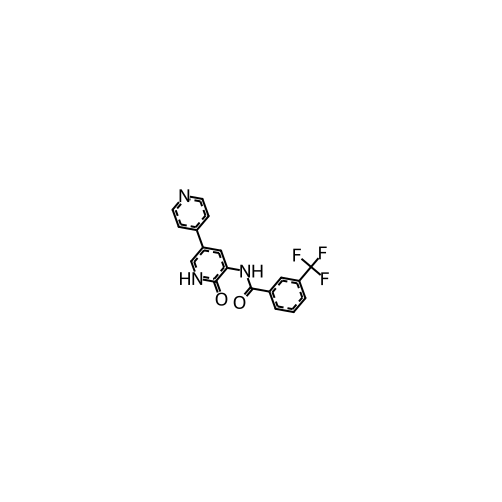 O=C(Nc1cc(-c2ccncc2)c[nH]c1=O)c1cccc(C(F)(F)F)c1